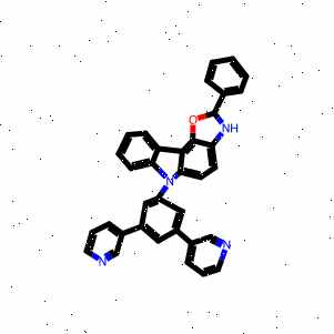 c1ccc(C2Nc3ccc4c(c3O2)c2ccccc2n4-c2cc(-c3cccnc3)cc(-c3cccnc3)c2)cc1